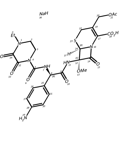 CCN1CCN(C(=O)N[C@@H](C(=O)N[C@]2(OC)C(=O)N3C(C(=O)O)=C(COC(C)=O)CS[C@@H]32)c2ccc(N)cc2)C(=O)C1=O.[NaH]